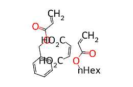 C=CC(=O)OCCCCCC.C=CC(=O)OCc1ccccc1.O=C(O)/C=C\C(=O)O